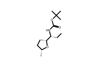 CC[C@@H](NC(=O)OC(C)(C)C)[C@H]1CC[C@@H](C)O1